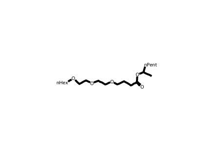 CCCCCCOCCOCCOCCCC(=O)OC(C)CCCCC